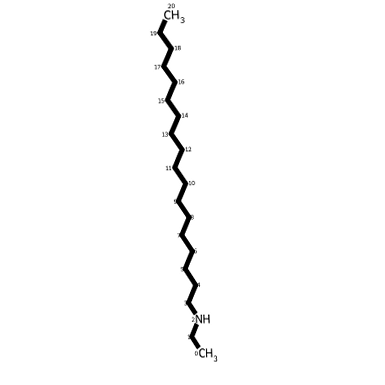 C[CH]NCCCCCCCCCCCCCCCCCC